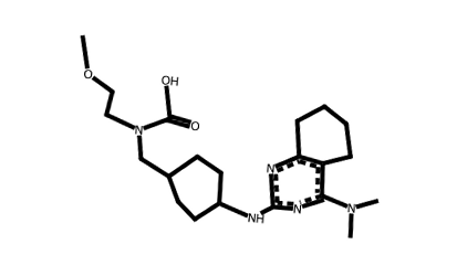 COCCN(CC1CCC(Nc2nc3c(c(N(C)C)n2)CCCC3)CC1)C(=O)O